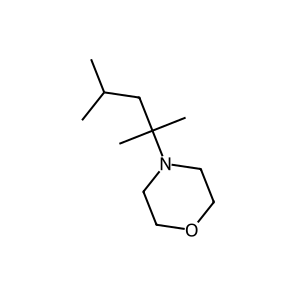 CC(C)CC(C)(C)N1CCOCC1